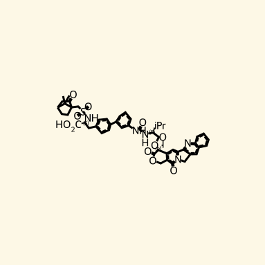 CC(C)[C@H](NC(=O)Nc1cccc(-c2ccc(C[C@H](NS(=O)(=O)CC34CCC(CC3=O)C4(C)C)C(=O)O)cc2)c1)C(=O)O[C@]1(I)C(=O)OCc2c1cc1n(c2=O)Cc2cc3ccccc3nc2-1